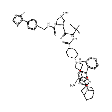 Cc1ncsc1-c1ccc(CNC(=O)[C@@H]2C[C@@H](O)CN2C(=O)[C@@H](NC(=O)[C@H]2CC[C@@H](N3CC(c4cnc(N5C6CCC5CN(c5cc(-c7ccccc7O)nnc5N)C6)nc4)C3)CC2)C(C)(C)C)cc1